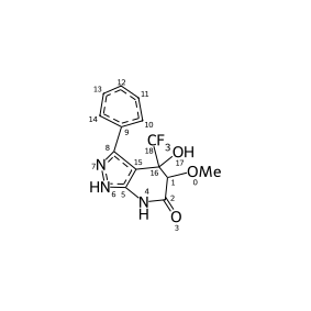 COC1C(=O)Nc2[nH]nc(-c3ccccc3)c2C1(O)C(F)(F)F